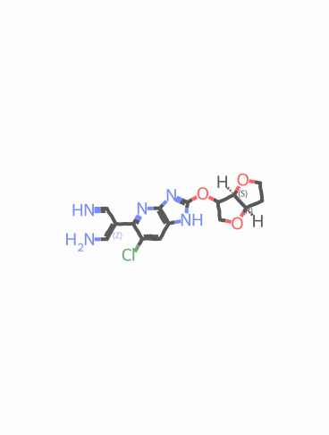 N=C/C(=C\N)c1nc2nc(OC3CO[C@@H]4CCO[C@H]34)[nH]c2cc1Cl